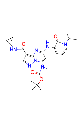 CC(C)n1cccc(Nc2cc(N(C)C(=O)OC(C)(C)C)n3ncc(C(=O)NC4CC4)c3n2)c1=O